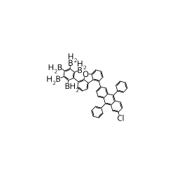 Bc1c(B)c(B)c(-c2cccc3c2oc2cccc(-c4ccc5c(-c6ccccc6)c6cc(Cl)ccc6c(-c6ccccc6)c5c4)c23)c(B)c1B